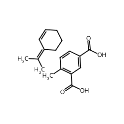 CC(C)=C1C=CCCC1.Cc1ccc(C(=O)O)cc1C(=O)O